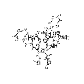 COc1cc(OC[C@@H](Cc2ccccc2)NC(=O)CNCCC2CCCCC2)c(C(=O)N[C@@H](CC(=O)O)C(=O)O)cc1OC